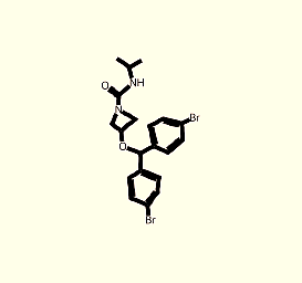 CC(C)NC(=O)N1CC(OC(c2ccc(Br)cc2)c2ccc(Br)cc2)C1